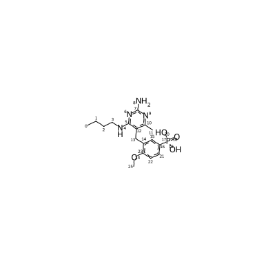 CCCCNc1nc(N)nc(C)c1Cc1cc(P(=O)(O)O)ccc1OC